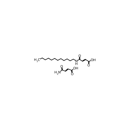 CCCCCCCCCCCCNC(=O)C=CC(=O)O.NC(=O)C=CC(=O)O